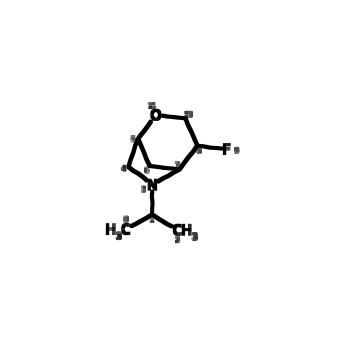 CC(C)N1CC2CC1C(F)CO2